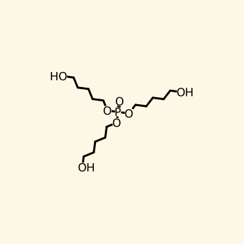 O=P(OCCCCCO)(OCCCCCO)OCCCCCO